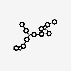 c1ccc(-c2ccc(N(c3ccc(-c4ccc(-c5ccccc5-n5c6ccccc6c6ccc(-c7ccccc7)cc65)cc4)cc3)c3ccc(-c4ccc5sc6ccccc6c5c4)cc3)cc2)cc1